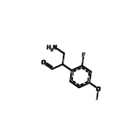 COc1ccc(C(C=O)CN)c(F)c1